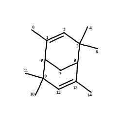 CC1=CC(C)(C)C2CC1C(C)(C)C=C2C